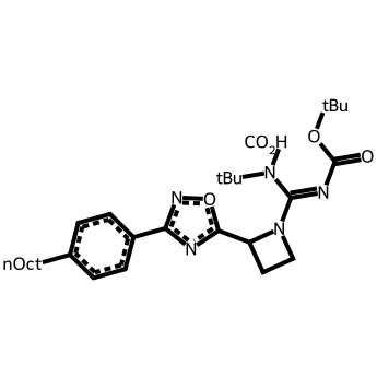 CCCCCCCCc1ccc(-c2noc(C3CCN3C(=NC(=O)OC(C)(C)C)N(C(=O)O)C(C)(C)C)n2)cc1